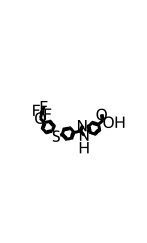 O=C(O)c1ccc2[nH]c(-c3ccc(Sc4ccc(OC(F)(F)F)cc4)cc3)nc2c1